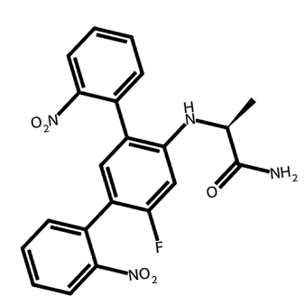 C[C@H](Nc1cc(F)c(-c2ccccc2[N+](=O)[O-])cc1-c1ccccc1[N+](=O)[O-])C(N)=O